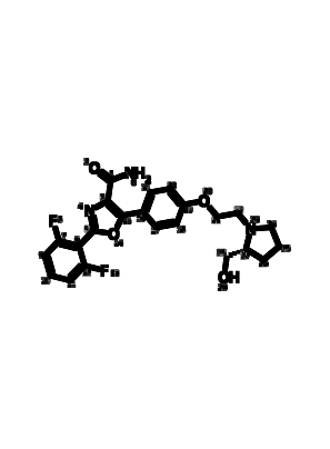 NC(=O)c1nc(-c2c(F)cccc2F)oc1-c1ccc(OCCN2CCC[C@@H]2CO)cc1